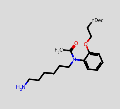 CCCCCCCCCCCCOc1ccccc1N(CCCCCCN)C(=O)C(F)(F)F